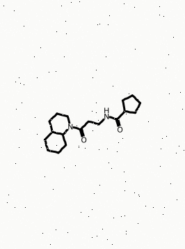 O=C(NCCC(=O)N1CCCC2CCCCC21)C1CCCC1